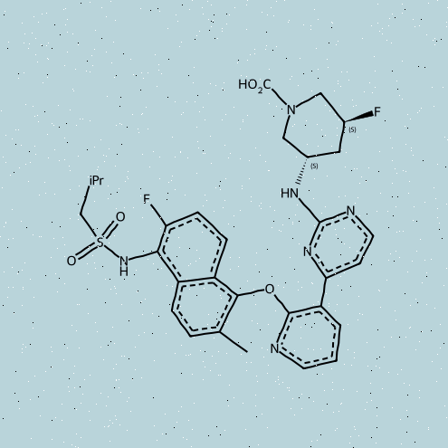 Cc1ccc2c(NS(=O)(=O)CC(C)C)c(F)ccc2c1Oc1ncccc1-c1ccnc(N[C@H]2C[C@H](F)CN(C(=O)O)C2)n1